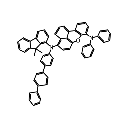 CC1(C)c2ccccc2-c2cccc(N(c3ccc(-c4ccc(-c5ccccc5)cc4)cc3)c3ccc4c5c(cccc35)-c3cccc(N(c5ccccc5)c5ccccc5)c3O4)c21